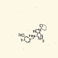 Oc1cc(CNc2nc(F)nc3c2ncn3C2CCCCO2)ccc1F